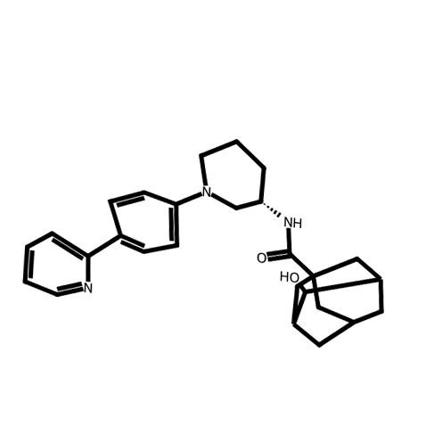 O=C(N[C@H]1CCCN(c2ccc(-c3ccccn3)cc2)C1)C12CC3CC(C1)C(O)C(C3)C2